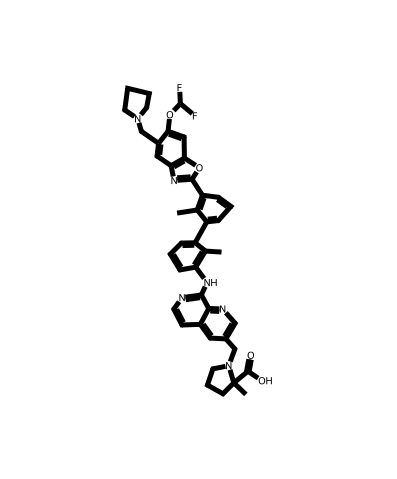 Cc1c(Nc2nccc3cc(CN4CCCC4(C)C(=O)O)cnc23)cccc1-c1cccc(-c2nc3cc(CN4CCCC4)c(OC(F)F)cc3o2)c1C